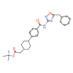 CC(C)(C)OC(=O)CC1CCC(c2ccc(C(=O)Nc3noc(Cc4ccccc4)n3)cc2)CC1